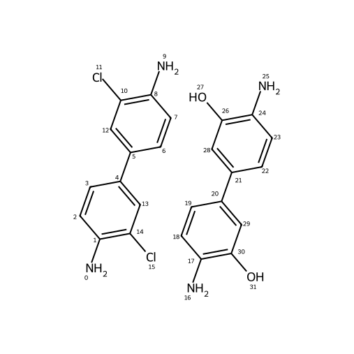 Nc1ccc(-c2ccc(N)c(Cl)c2)cc1Cl.Nc1ccc(-c2ccc(N)c(O)c2)cc1O